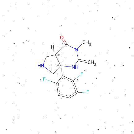 C=C1N[C@@]2(c3c(F)ccc(F)c3F)CNC[C@H]2C(=O)N1C